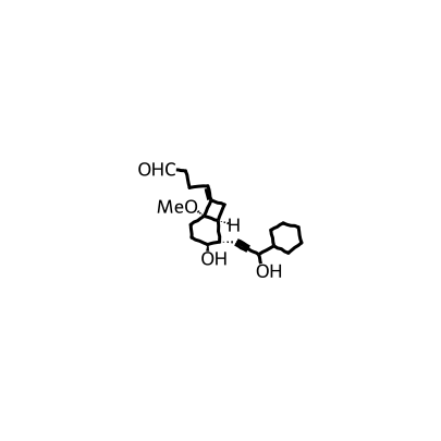 CO[C@@]12CC[C@H](O)[C@@H](C#CC(O)C3CCCCC3)[C@@H]1C/C2=C/CCC=O